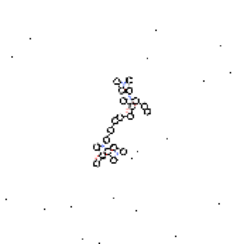 c1ccc(N(c2ccc(-c3ccc(-c4ccc5ccc(-c6cccc7c6oc6c(-c8ccccc8N(c8ccc(-c9ccc%10ccccc%10c9)cc8)c8ccc(-c9ccccc9-n9c%10ccccc%10c%10ccccc%109)cc8)cccc67)cc5c4)cc3)cc2)c2ccc(-c3ccccc3-n3c4ccccc4c4ccccc43)cc2)c(-c2cccc3c2oc2ccccc23)c1